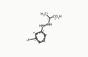 CC(NNc1cccc(F)c1)C(=O)O